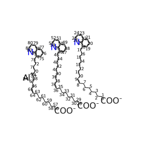 O=C([O-])CCCCCCC/C=C\CCCCCCCCc1cccc2cccnc12.O=C([O-])CCCCCCC/C=C\CCCCCCCCc1cccc2cccnc12.O=C([O-])CCCCCCC/C=C\CCCCCCCCc1cccc2cccnc12.[Al+3]